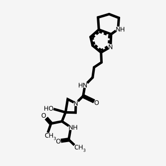 CC(=O)NC(C(C)=O)C1(O)CN(C(=O)NCCCc2ccc3c(n2)NCCC3)C1